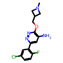 CN1CC(COc2nnc(-c3cc(Cl)ccc3F)cc2N)C1